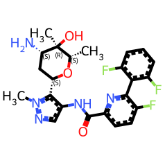 C[C@@H]1O[C@H](c2c(NC(=O)c3ccc(F)c(-c4c(F)cccc4F)n3)cnn2C)C[C@H](N)[C@@]1(C)O